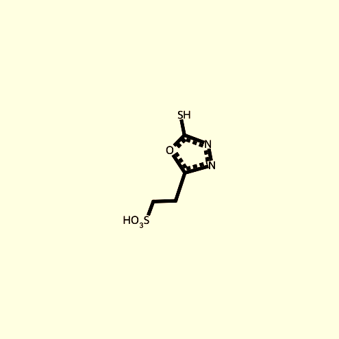 O=S(=O)(O)CCc1nnc(S)o1